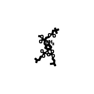 COC(=O)[C@@](N)(CCOC(=O)CC(C)(C)C)Cc1ccc(OC(=O)OCCC(C)C)c(OC(=O)OCCC(C)C)c1